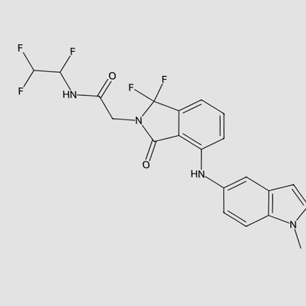 Cn1ccc2cc(Nc3cccc4c3C(=O)N(CC(=O)NC(F)C(F)F)C4(F)F)ccc21